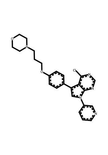 Clc1ncnc2c1c(-c1ccc(OCCCN3CCOCC3)cc1)cn2-c1cccnc1